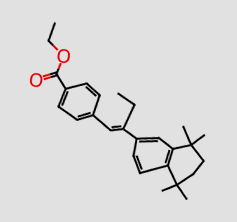 CCOC(=O)c1ccc(/C=C(\CC)c2ccc3c(c2)C(C)(C)CCC3(C)C)cc1